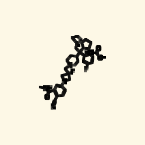 CNC(=O)c1cc(N2CC(F)(CN3CCC(C(CN4CCC4)(c4cccc(F)c4)[C@H]4CCC[C@@H]4NC(=O)OC)CC3)C2)ccc1C#N